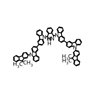 CC1(C)c2ccccc2-c2ccc(-n3c4ccccc4c4cc(-c5ccc6c(c5)c5ccccc5n6C(=N)c5ccccc5C(=N)n5c6ccccc6c6cc(-c7ccc8c(c7)c7ccccc7n8-c7ccc8c(c7)C(C)(C)c7ccccc7-8)ccc65)ccc43)cc21